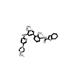 COc1ncc(-c2cccc(NC(=O)c3cc4c(s3)CCCC4)c2C)cc1Nc1ccc(N2CCN(C)CC2)cn1